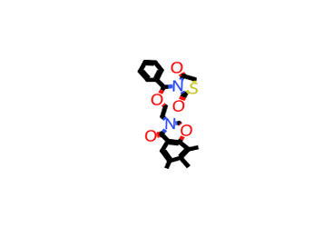 Cc1cc2c(c(C)c1C)OCN(CCOC(c1ccccc1)N1C(=O)CSC1=O)C2=O